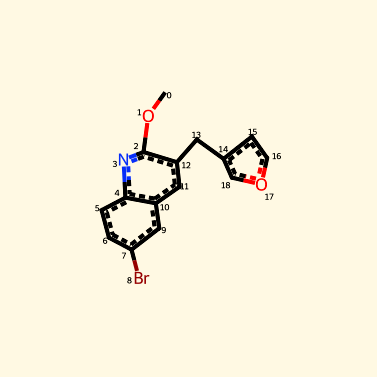 COc1nc2ccc(Br)cc2cc1Cc1ccoc1